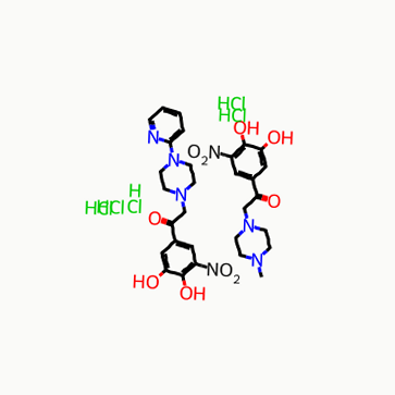 CN1CCN(CC(=O)c2cc(O)c(O)c([N+](=O)[O-])c2)CC1.Cl.Cl.Cl.Cl.Cl.O=C(CN1CCN(c2ccccn2)CC1)c1cc(O)c(O)c([N+](=O)[O-])c1